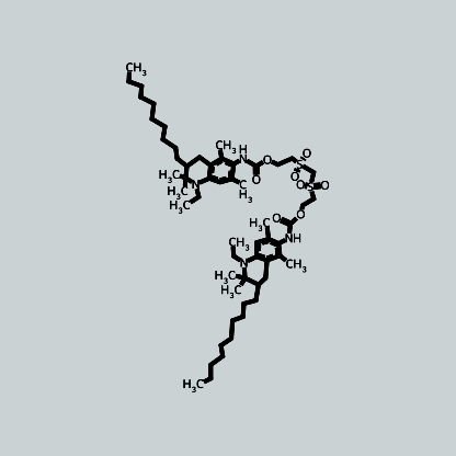 CCCCCCCCCCC1Cc2c(cc(C)c(NC(=O)OCCS(=O)(=O)CS(=O)(=O)CCOC(=O)Nc3c(C)cc4c(c3C)CC(CCCCCCCCCC)C(C)(C)N4CC)c2C)N(CC)C1(C)C